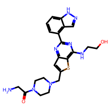 NCC(=O)N1CCN(Cc2cc3nc(-c4cccc5[nH]ncc45)nc(NCCO)c3s2)CC1